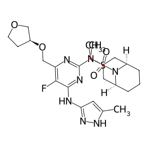 CCS(=O)(=O)N1[C@@H]2CCC[C@H]1C[C@H](N(C)c1nc(CO[C@H]3CCOC3)c(F)c(Nc3cc(C)[nH]n3)n1)C2